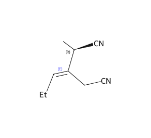 CC/C=C(\CC#N)[C@@H](C)C#N